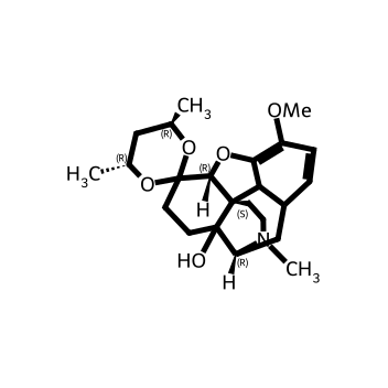 COC1=C2O[C@H]3C4(CCC5(O)[C@H]6CC(C=C1)C2[C@@]35CCN6C)O[C@H](C)C[C@@H](C)O4